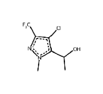 CC(O)c1c(Cl)c(C(F)(F)F)nn1C